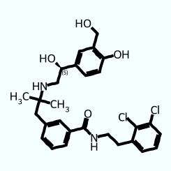 CC(C)(Cc1cccc(C(=O)NCCc2cccc(Cl)c2Cl)c1)NC[C@@H](O)c1ccc(O)c(CO)c1